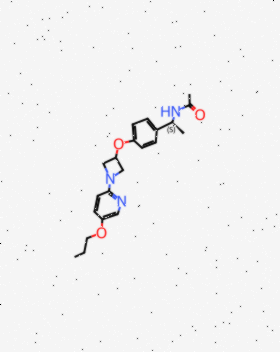 CCCOc1ccc(N2CC(Oc3ccc([C@H](C)NC(C)=O)cc3)C2)nc1